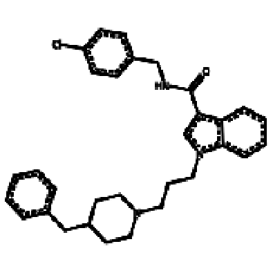 O=C(NCc1ccc(Cl)cc1)c1cn(CCCN2CCC(Cc3ccccc3)CC2)c2ccccc12